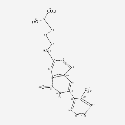 O=C(O)C(O)CCCNc1ccc2cc(-c3ccccc3C(F)(F)F)[nH]c(=O)c2c1